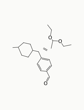 C=C.CC1CCC(Cc2ccc(C=O)cc2)CC1.CCOC(C)OCC